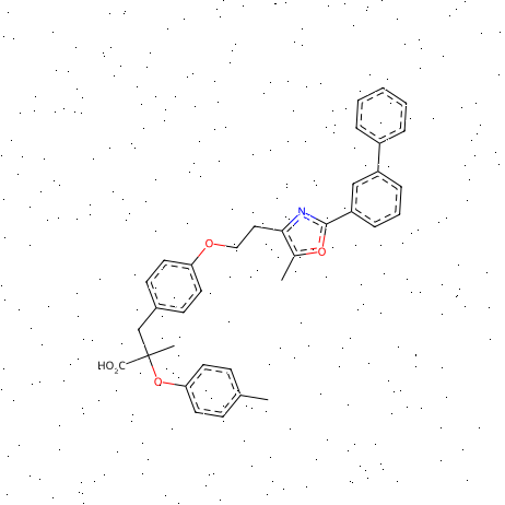 Cc1ccc(OC(C)(Cc2ccc(OCCc3nc(-c4cccc(-c5ccccc5)c4)oc3C)cc2)C(=O)O)cc1